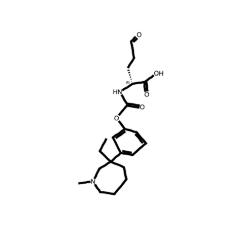 CCC1(c2cccc(OC(=O)N[C@H](CCC=O)C(=O)O)c2)CCCCN(C)C1